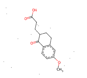 COc1ccc2c(c1)CCC(CCC(=O)O)C2=O